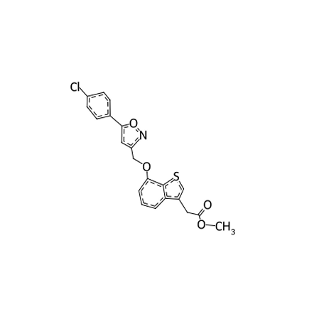 COC(=O)Cc1csc2c(OCc3cc(-c4ccc(Cl)cc4)on3)cccc12